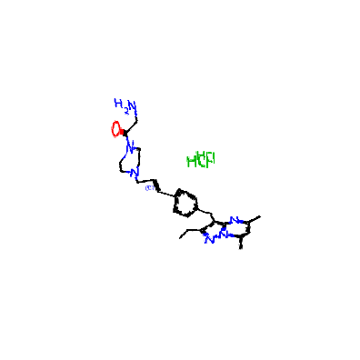 CCc1nn2c(C)cc(C)nc2c1Cc1ccc(/C=C/CN2CCN(C(=O)CN)CC2)cc1.Cl.Cl